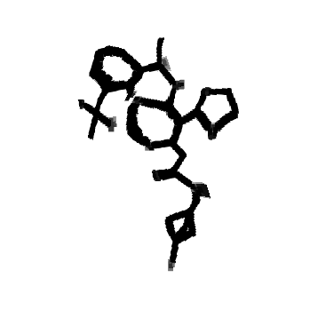 C[C@@H](Nc1ncnc(CC(=O)NC23CC(F)(C2)C3)c1C1OCCO1)c1cccc(C(C)(F)F)c1F